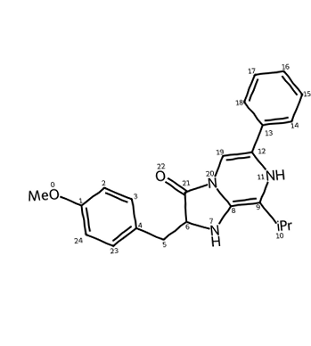 COc1ccc(CC2NC3=C(C(C)C)NC(c4ccccc4)=CN3C2=O)cc1